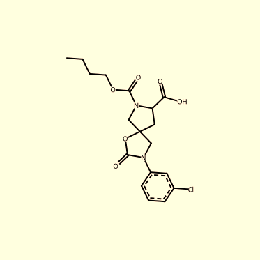 CCCCOC(=O)N1CC2(CC1C(=O)O)CN(c1cccc(Cl)c1)C(=O)O2